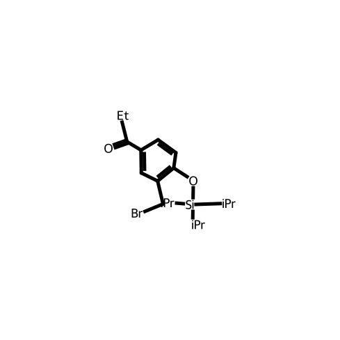 CCC(=O)c1ccc(O[Si](C(C)C)(C(C)C)C(C)C)c(CBr)c1